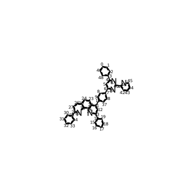 c1ccc(-c2cc(-c3ccc(-c4cc(-c5ccccc5)nc5c4ccc4ccc(-c6ccccc6)nc45)cc3)nc(-c3ccccn3)n2)cc1